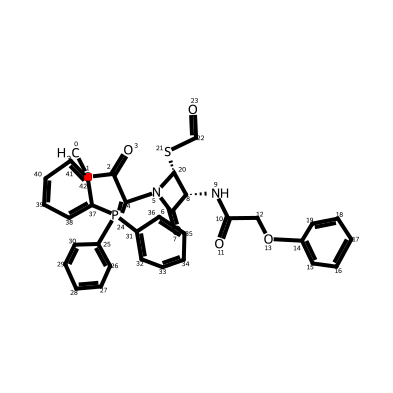 COC(=O)C(N1C(=O)[C@@H](NC(=O)COc2ccccc2)[C@H]1SC=O)=P(c1ccccc1)(c1ccccc1)c1ccccc1